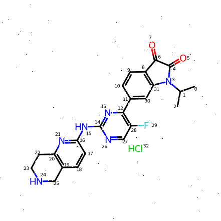 CC(C)N1C(=O)C(=O)c2ccc(-c3nc(Nc4ccc5c(n4)CCNC5)ncc3F)cc21.Cl